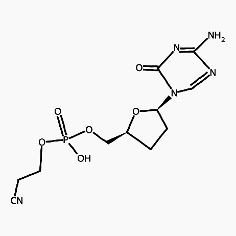 N#CCCOP(=O)(O)OC[C@@H]1CC[C@H](n2cnc(N)nc2=O)O1